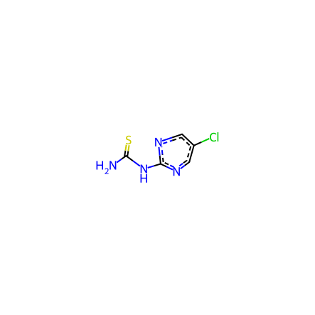 NC(=S)Nc1ncc(Cl)cn1